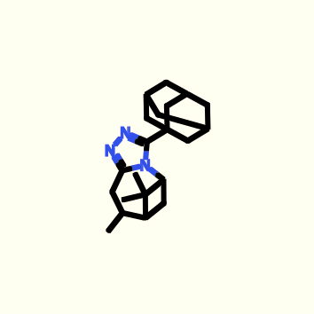 CC1Cc2nnc(C34CC5CC(CC(C5)C3)C4)n2C2CC1C2(C)C